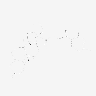 CCOC(=O)O[C@]1(C(=O)OCC(=O)c2ccc(Cl)cc2Cl)CC[C@H]2[C@@H]3CCC4=CC(=O)C=C[C@]4(C)[C@H]3[C@@H](O)C[C@@]21C